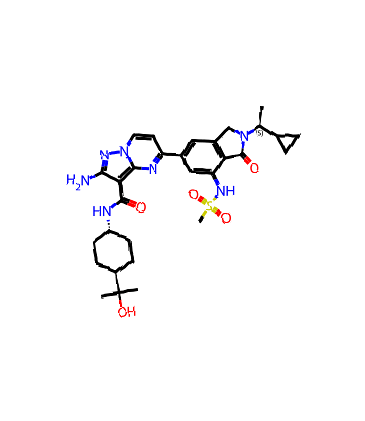 C[C@@H](C1CC1)N1Cc2cc(-c3ccn4nc(N)c(C(=O)N[C@H]5CC[C@H](C(C)(C)O)CC5)c4n3)cc(NS(C)(=O)=O)c2C1=O